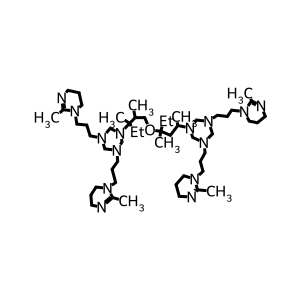 CCC(C)(CC(C)N1CN(CCCN2CCCN=C2C)CN(CCCN2CCCN=C2C)C1)OCC(C)C(C)(CC)N1CN(CCCN2CCCN=C2C)CN(CCCN2CCCN=C2C)C1